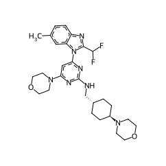 Cc1ccc2nc(C(F)F)n(-c3cc(N4CCOCC4)nc(NC[C@H]4CC[C@H](N5CCOCC5)CC4)n3)c2c1